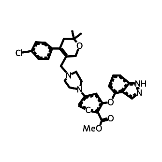 COC(=O)c1ccc(N2CCN(CC3=C(c4ccc(Cl)cc4)CC(C)(C)OC3)CC2)cc1Oc1cccc2[nH]ncc12